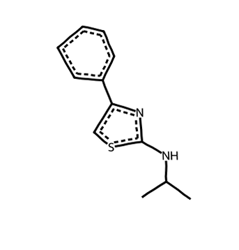 CC(C)Nc1nc(-c2ccccc2)cs1